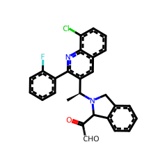 C[C@@H](c1cc2cccc(Cl)c2nc1-c1ccccc1F)N1Cc2ccccc2C1C(=O)C=O